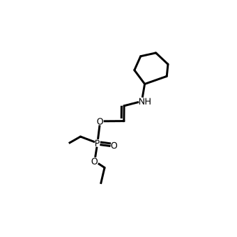 CCOP(=O)(CC)OC=CNC1CCCCC1